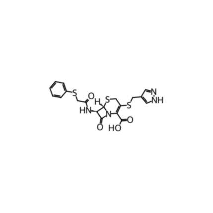 O=C(CSc1ccccc1)N[C@@H]1C(=O)N2C(C(=O)O)=C(SCc3cn[nH]c3)CS[C@@H]12